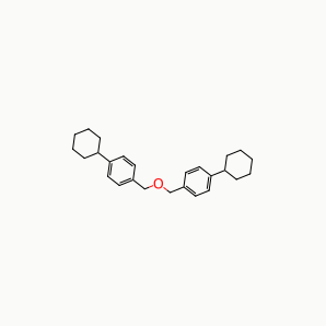 c1cc(C2CCCCC2)ccc1COCc1ccc(C2CCCCC2)cc1